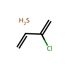 C=CC(=C)Cl.S